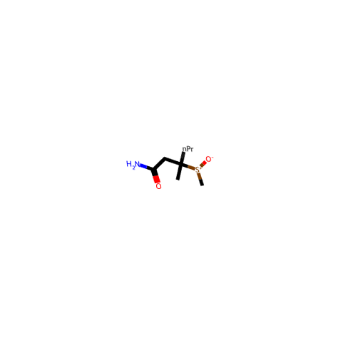 CCCC(C)(CC(N)=O)[S+](C)[O-]